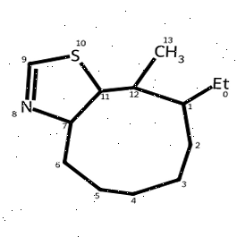 CCC1CCCCCC2N=CSC2C1C